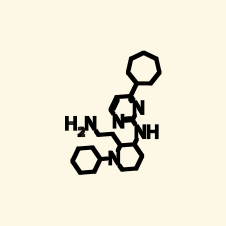 NCCC1C(Nc2nccc(C3CCCCCC3)n2)CCCN1C1CCCCC1